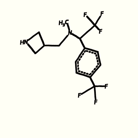 CN(CC1CNC1)C(c1ccc(C(F)(F)F)cc1)C(F)(F)F